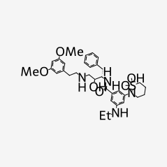 CCNc1cc(C(=O)N[C@@H](Cc2ccccc2)[C@@H](O)CNCCc2cc(OC)cc(OC)c2)cc(N2CCCCS2(O)O)c1